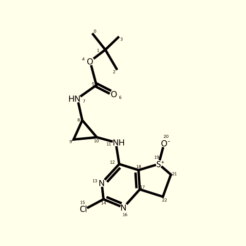 CC(C)(C)OC(=O)NC1CC1Nc1nc(Cl)nc2c1[S+]([O-])CC2